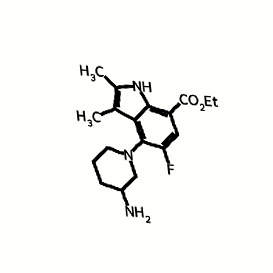 CCOC(=O)c1cc(F)c(N2CCCC(N)C2)c2c(C)c(C)[nH]c12